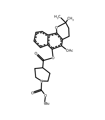 CC(=O)Oc1c2c(c3ccccc3c1OC(=O)C1CCN(C(=O)OC(C)(C)C)CC1)OC(C)(C)CC2